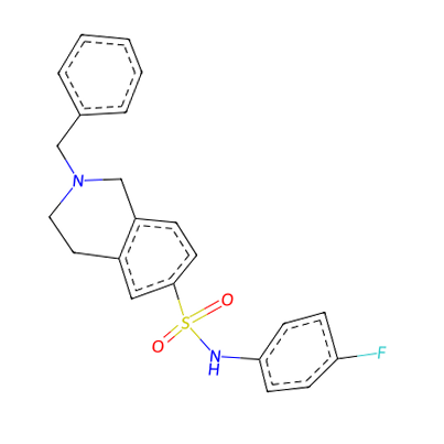 O=S(=O)(Nc1ccc(F)cc1)c1ccc2c(c1)CCN(Cc1ccccc1)C2